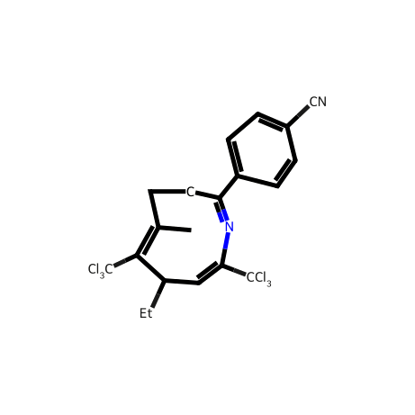 CCC1/C=C(C(Cl)(Cl)Cl)\N=C(\c2ccc(C#N)cc2)CC/C(C)=C/1C(Cl)(Cl)Cl